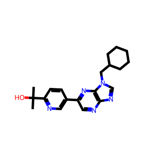 CC(C)(O)c1ccc(-c2cnc3ncn(CC4CCCCC4)c3n2)cn1